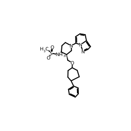 CS(=O)(=O)NC1CCN(c2cccc3ccnn23)C[C@H]1COC1CCC(c2ccccc2)CC1